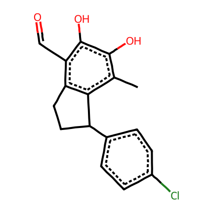 Cc1c(O)c(O)c(C=O)c2c1C(c1ccc(Cl)cc1)CC2